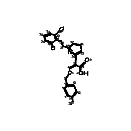 O=C(O)C(=COCc1ccc(F)cc1)c1cccc(CSc2c(Cl)cccc2Cl)n1